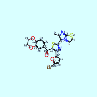 Cc1nc2sccn2c1-c1nc(-c2ccc(Br)o2)c(C(=O)c2ccc3c(c2)OCCO3)s1